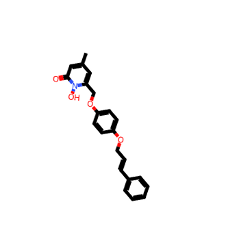 Cc1cc(COc2ccc(OC/C=C/c3ccccc3)cc2)n(O)c(=O)c1